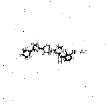 CC(=O)Nc1cccc(Nc2ncnc(N3CCC(c4nc(-c5ccccc5)cs4)CC3)n2)c1C